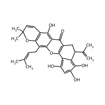 C=C(C)C1Cc2c(oc3c(CC=C(C)C)c4c(c(O)c3c2=O)C=CC(C)(C)O4)-c2c(O)cc(O)c(O)c21